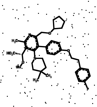 Cc1nc(COC2CCCC2)c(-c2ccc(OCCc3ccc(F)cc3)cc2)c(N2CCC(C)(C)CC2)c1[C@H](OC(C)(C)C)C(=O)O